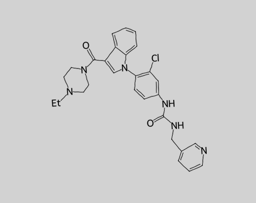 CCN1CCN(C(=O)c2cn(-c3ccc(NC(=O)NCc4cccnc4)cc3Cl)c3ccccc23)CC1